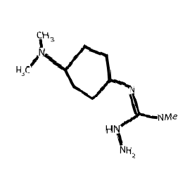 CNC(=NC1CCC(N(C)C)CC1)NN